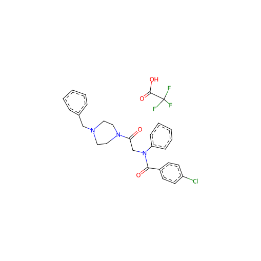 O=C(CN(C(=O)c1ccc(Cl)cc1)c1ccccc1)N1CCN(Cc2ccccc2)CC1.O=C(O)C(F)(F)F